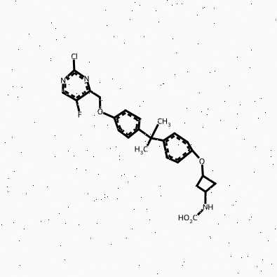 CC(C)(c1ccc(OCc2nc(Cl)ncc2F)cc1)c1ccc(OC2CC(NC(=O)O)C2)cc1